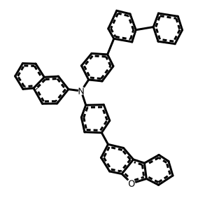 c1ccc(-c2cccc(-c3ccc(N(c4ccc(-c5ccc6oc7ccccc7c6c5)cc4)c4ccc5ccccc5c4)cc3)c2)cc1